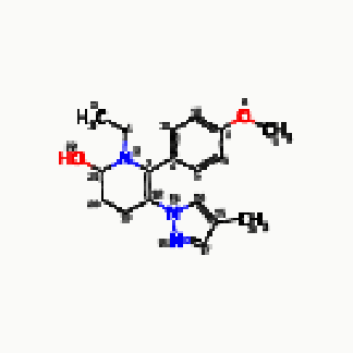 CCN1C(c2ccc(OC)cc2)=C(n2cc(C)cn2)CCC1O